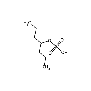 CCCC(CCC)OS(=O)(=O)O